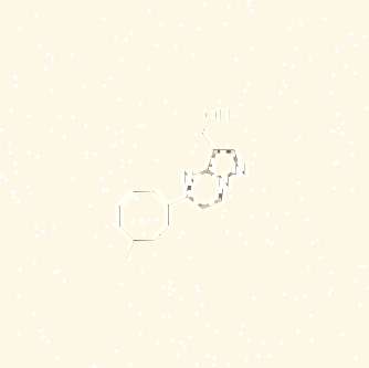 CC1CCCCC(c2ccn3ncc(CO)c3n2)CC1